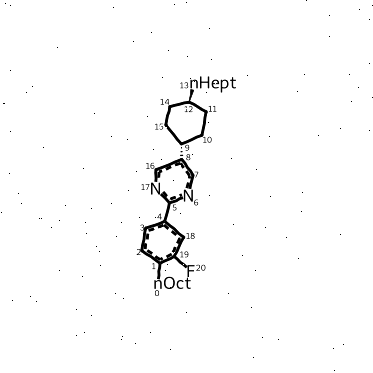 CCCCCCCCc1ccc(-c2ncc([C@H]3CC[C@H](CCCCCCC)CC3)cn2)cc1F